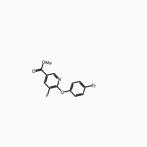 CCc1ccc(Oc2ncc(C(=O)OC)cc2F)cc1